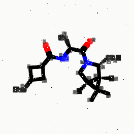 COC1CC(C(=O)N[C@H](C(=O)N2C[C@H]3[C@@H]([C@H]2C(=O)O)C3(C)C)C(C)(C)C)C1